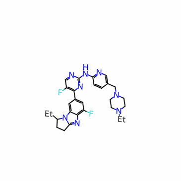 CCC1CCc2nc3c(F)cc(-c4nc(Nc5ccc(CN6CCN(CC)CC6)cn5)ncc4F)cc3n21